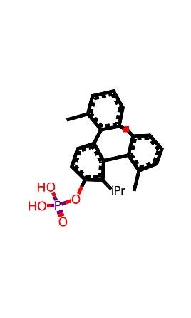 Cc1cccc(C)c1-c1ccc(OP(=O)(O)O)c(C(C)C)c1-c1c(C)cccc1C